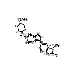 CN[C@H]1CC[C@@H](Nc2ncc3c(-c4cnc5nc(C)n(C(C)C)c5c4)ccn3n2)CC1